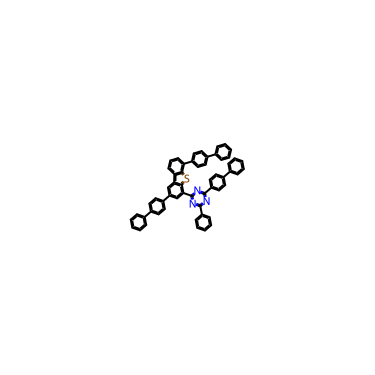 c1ccc(-c2ccc(-c3cc(-c4nc(-c5ccccc5)nc(-c5ccc(-c6ccccc6)cc5)n4)c4sc5c(-c6ccc(-c7ccccc7)cc6)cccc5c4c3)cc2)cc1